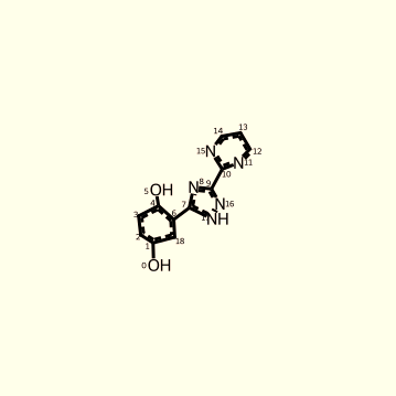 Oc1ccc(O)c(-c2nc(-c3ncccn3)n[nH]2)c1